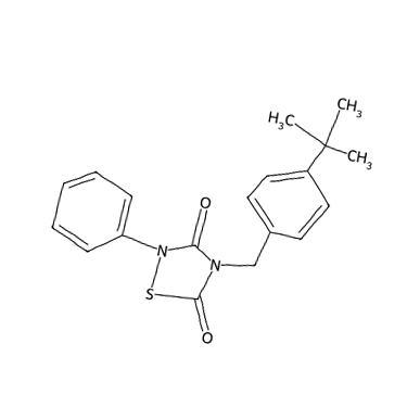 CC(C)(C)c1ccc(Cn2c(=O)sn(-c3ccccc3)c2=O)cc1